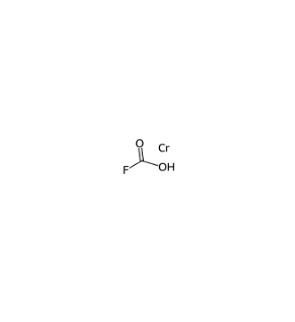 O=C(O)F.[Cr]